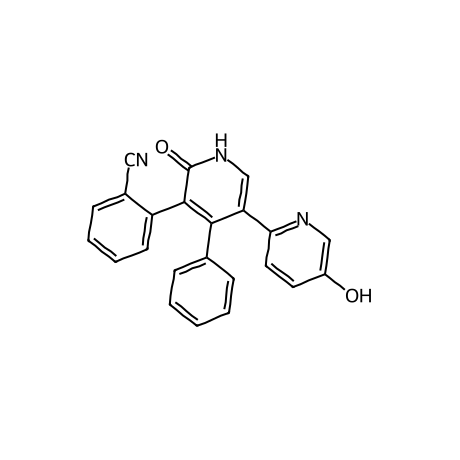 N#Cc1ccccc1-c1c(-c2ccccc2)c(-c2ccc(O)cn2)c[nH]c1=O